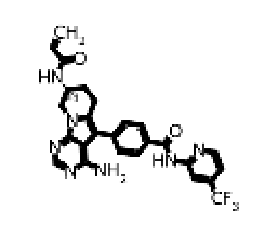 C=CC(=O)N[C@@H]1CCc2c(-c3ccc(C(=O)Nc4cc(C(F)(F)F)ccn4)cc3)c3c(N)ncnc3n2C1